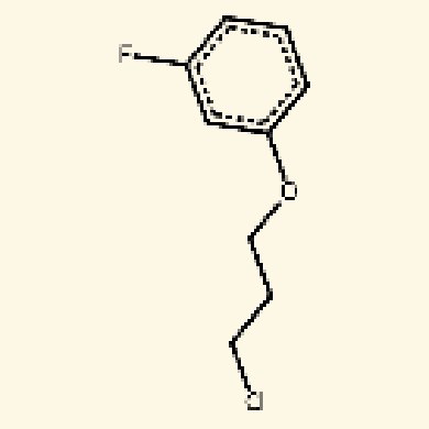 Fc1cccc(OCCCCl)c1